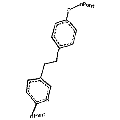 CCCCCOc1ccc(CCc2ccc(CCCCC)nc2)cc1